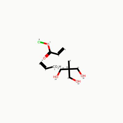 C=CC(=O)O.C=CC(=O)OCl.CC(CO)(CO)CO